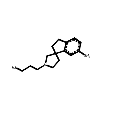 Bc1ccc2c(c1)C1(CC2)CCN(CCCS)C1